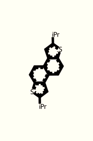 CC(C)c1cc2c(ccc3c4cc(C(C)C)sc4ccc23)s1